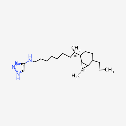 CCCC1CCC([C@H](C)CCCCCCCNc2c[nH]nn2)C2C1[C@@H]2C